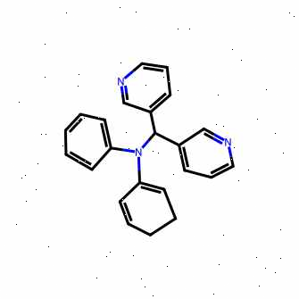 C1=CC(N(c2ccccc2)C(c2cccnc2)c2cccnc2)=CCC1